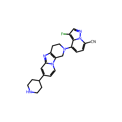 N#Cc1ccc(N2CCc3nc4cc(C5CCNCC5)ccn4c3C2)c2c(F)cnn12